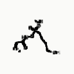 C=CC(=O)NOS(=O)(=O)CCCCCCCCCCCC.[NaH]